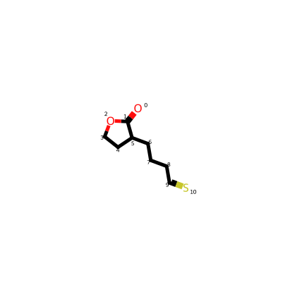 O=C1OCCC1CCCC=S